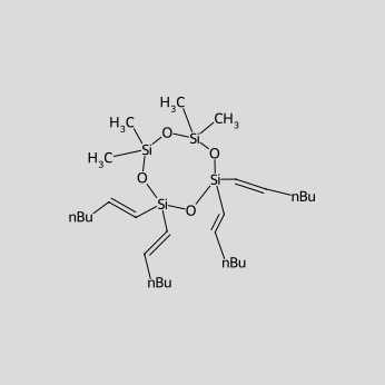 CCCCC=C[Si]1(C=CCCCC)O[Si](C)(C)O[Si](C)(C)O[Si](C=CCCCC)(C=CCCCC)O1